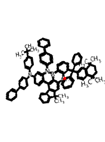 CC(C)(C)c1ccc(N(c2ccc(-c3ccccc3)cc2)c2ccc3c(c2)N(c2ccc(-c4ccccc4)cc2)B2c4cccc(C(c5ccccc5)(c5ccccc5)c5ccc6c(c5)C(C)(C)CCC6(C)C)c4Nc4cc5c(c-3c42)-c2ccccc2C5(C)C)cc1